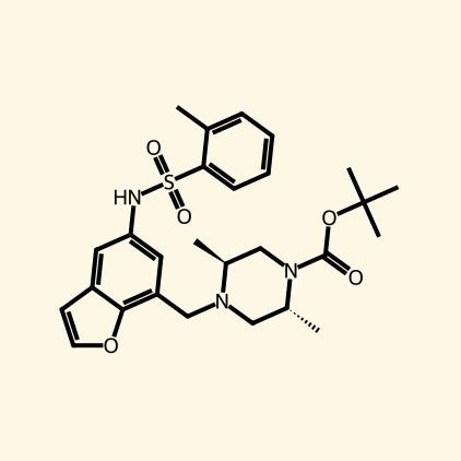 Cc1ccccc1S(=O)(=O)Nc1cc(CN2C[C@@H](C)N(C(=O)OC(C)(C)C)C[C@@H]2C)c2occc2c1